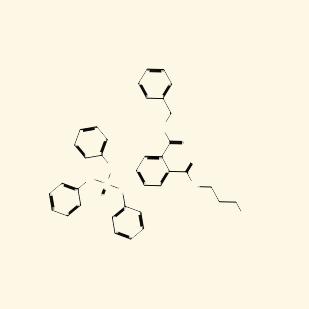 CCCCOC(=O)c1ccccc1C(=O)OCc1ccccc1.O=P(Oc1ccccc1)(Oc1ccccc1)Oc1ccccc1